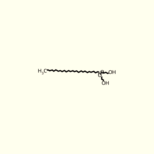 CCCCCCCCCCCCCCCCCCCCCCCCCCN(OCCCO)OCCCO